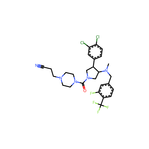 CN(Cc1ccc(C(F)(F)F)c(F)c1)C1CN(C(=O)N2CCN(CCC#N)CC2)CC1c1ccc(Cl)c(Cl)c1